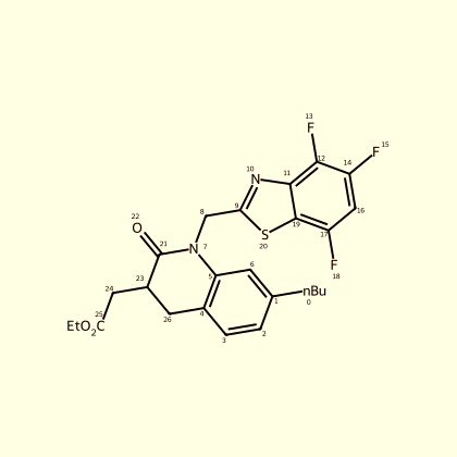 CCCCc1ccc2c(c1)N(Cc1nc3c(F)c(F)cc(F)c3s1)C(=O)C(CC(=O)OCC)C2